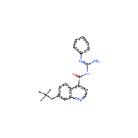 CC(C)(C)Cc1ccc2c(C(=O)NC(N)=Nc3ccccc3)ccnc2c1